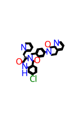 O=C1Nc2cc(Cl)ccc2C(=O)N(Cc2ccc(N3CCc4cccnc4C3=O)cc2)[C@@H]1Cc1ccccn1